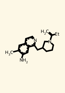 C=C(CC)N1CCCC(Cc2nccc3cc(C)c(N)cc23)C1